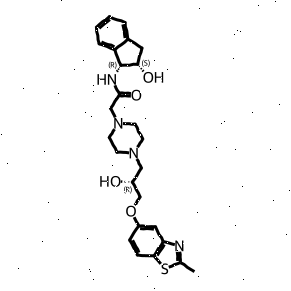 Cc1nc2cc(OC[C@H](O)CN3CCN(CC(=O)N[C@@H]4c5ccccc5C[C@@H]4O)CC3)ccc2s1